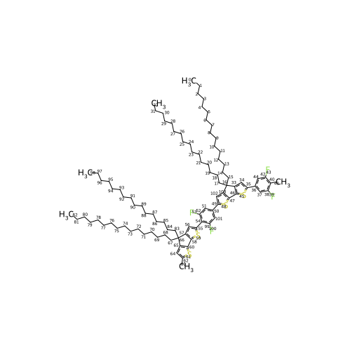 CCCCCCCCCCCCCCCCC1(CCCCCCCCCCCCCCCC)c2cc(-c3cc(F)c(C)c(F)c3)sc2-c2sc(-c3cc(F)c(-c4cc5c(s4)-c4sc(C)cc4C5(CCCCCCCCCCCCCCCC)CCCCCCCCCCCCCCCC)c(F)c3)cc21